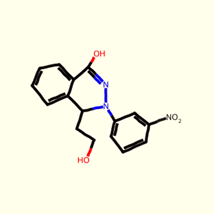 O=[N+]([O-])c1cccc(N2N=C(O)c3ccccc3C2CCO)c1